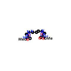 COC(=O)N[C@@H](C(=O)N1CCC[C@H]1c1ncc(-c2ccc(-c3ccc4cc(-c5cnc([C@@H]6CCCN6C(=O)[C@@H](NC(=O)OC)C6CCOCC6)[nH]5)ccc4c3)cn2)[nH]1)C1=CCCC=C1